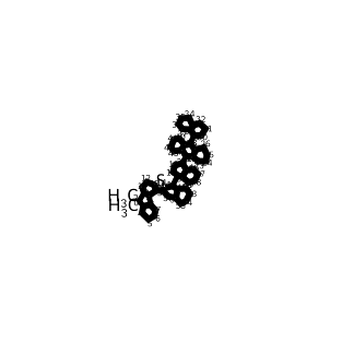 CC1(C)c2ccccc2-c2c1ccc1sc3c(-c4ccc(-c5c6ccccc6c(-c6cccc7ccccc67)c6ccccc56)c5ccccc45)c4ccccc4cc3c21